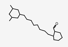 CC1CC(C)CC(CCCCCCCCC2CCCCC2C=O)C1